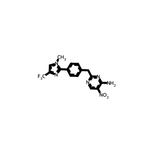 Cn1cc(C(F)(F)F)nc1-c1ccc(Cc2ncc([N+](=O)[O-])c(N)n2)cc1